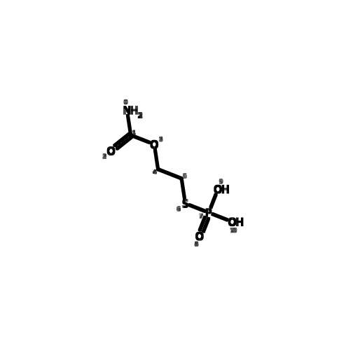 NC(=O)OCCSP(=O)(O)O